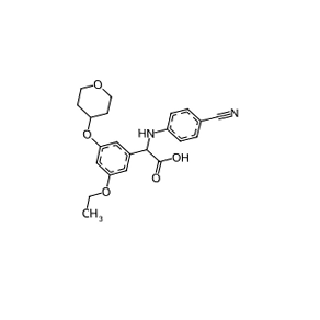 CCOc1cc(OC2CCOCC2)cc(C(Nc2ccc(C#N)cc2)C(=O)O)c1